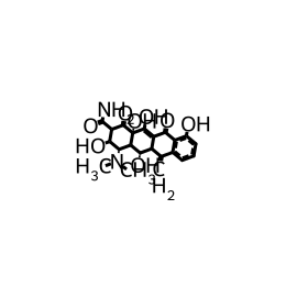 C=C1c2cccc(O)c2C(=O)C2=C(O)[C@]3(O)C(=O)C(C(N)=O)C(O)[C@@H](N(C)C)C3[C@@H](O)C12